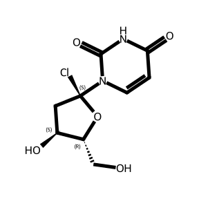 O=c1ccn([C@@]2(Cl)C[C@H](O)[C@@H](CO)O2)c(=O)[nH]1